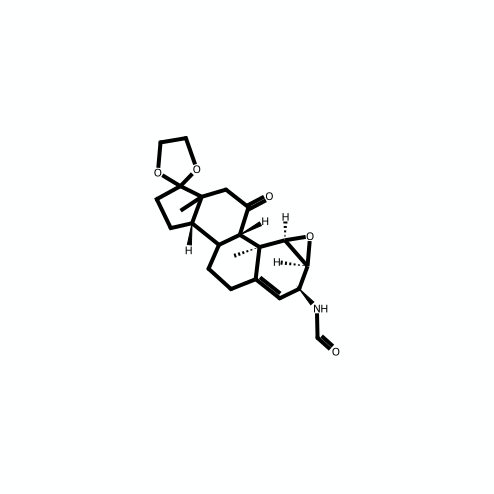 CC12CC(=O)[C@H]3C(CCC4=C[C@H](NC=O)[C@@H]5O[C@@H]5[C@@]43C)[C@@H]1CCC21OCCO1